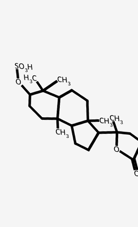 CC1(C2CCC3C2(C)CCC2C(C)(C)C(OS(=O)(=O)O)CCC23C)CCC(=O)O1